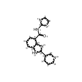 O=C(Nc1nccs1)c1cccc2[nH]c(-c3cccnc3)nc12